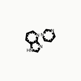 c1cnc2nc[nH]c2c1.c1cncnc1